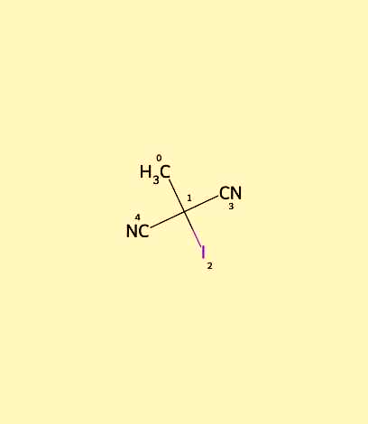 CC(I)(C#N)C#N